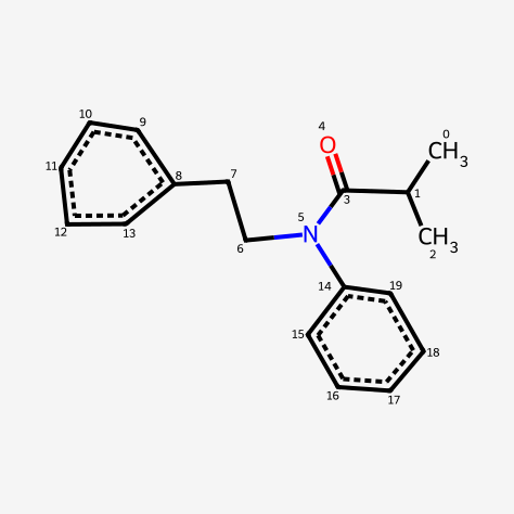 CC(C)C(=O)N(CCc1ccccc1)c1ccccc1